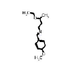 CCOC(C)CC/N=C/C1=CCC(OC)C=C1